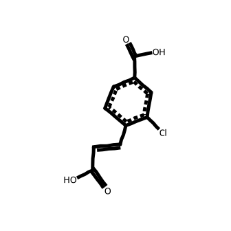 O=C(O)C=Cc1ccc(C(=O)O)cc1Cl